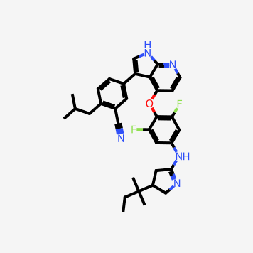 CCC(C)(C)C1CN=C(Nc2cc(F)c(Oc3ccnc4[nH]cc(-c5ccc(CC(C)C)c(C#N)c5)c34)c(F)c2)C1